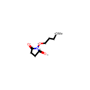 COCCCON1C(=O)CCC1=O